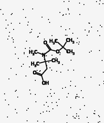 CN(C(=O)OC(C)(C)C)C(C)(C)CC(=O)O